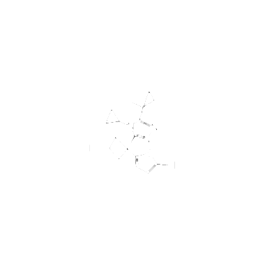 CC1(c2nnc([C@]3(c4ccc(Cl)s4)C[C@@H](F)C3)n2C2CC2)CC1